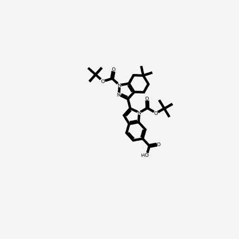 CC1(C)CCc2c(-c3cc4ccc(C(=O)O)cc4n3C(=O)OC(C)(C)C)nn(C(=O)OC(C)(C)C)c2C1